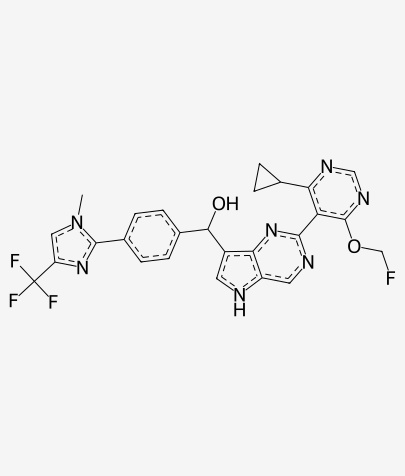 Cn1cc(C(F)(F)F)nc1-c1ccc(C(O)c2c[nH]c3cnc(-c4c(OCF)ncnc4C4CC4)nc23)cc1